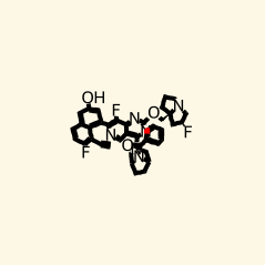 C#Cc1c(F)ccc2cc(O)cc(-c3ncc4c(N5CC6CCC(C5)N6C(=O)c5ccccc5)nc(OC[C@@]56CCCN5C[C@H](F)C6)nc4c3F)c12